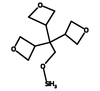 [SiH3]OCC(C1COC1)(C1COC1)C1COC1